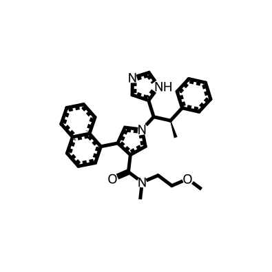 COCCN(C)C(=O)c1cn(C(c2cnc[nH]2)[C@H](C)c2ccccc2)cc1-c1cccc2ccccc12